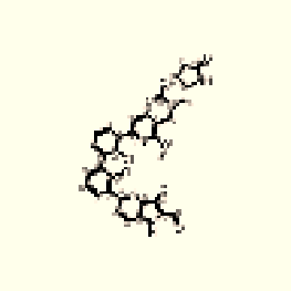 COc1nc(-c2cccc(-c3cccc(-c4ccc5[nH]c(C=O)c(Cl)c5n4)c3Cl)c2Cl)ccc1CN(C[C@@H]1CCC(=O)N1)C(=O)O